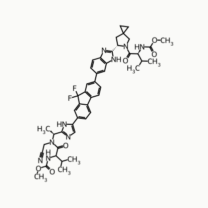 COC(=O)NC(C(=O)N(CC#N)[C@@H](C)c1ncc(-c2ccc3c(c2)C(F)(F)c2cc(-c4ccc5nc([C@@H]6CC7(CC7)CN6C(=O)[C@@H](NC(=O)OC)C(C)C)[nH]c5c4)ccc2-3)[nH]1)C(C)C